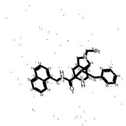 CC(C)CN1CC2CC3(C(=O)NCc4cccc5ccccc45)NCC2C1C3Cc1ccccc1